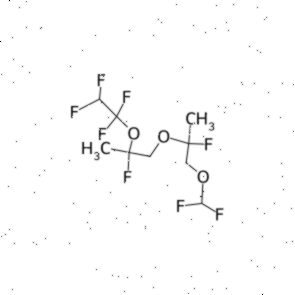 CC(F)(COC(F)F)OCC(C)(F)OC(F)(F)C(F)F